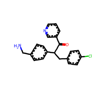 NCc1ccc(C(Cc2ccc(Cl)cc2)C(=O)c2cccnc2)cc1